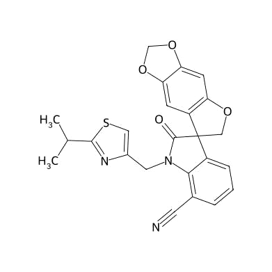 CC(C)c1nc(CN2C(=O)C3(COc4cc5c(cc43)OCO5)c3cccc(C#N)c32)cs1